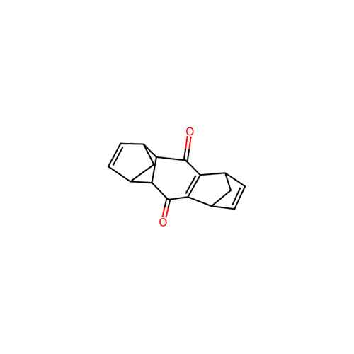 O=C1C2=C(C(=O)C3C4C=CC(C4)C13)C1C=CC2C1